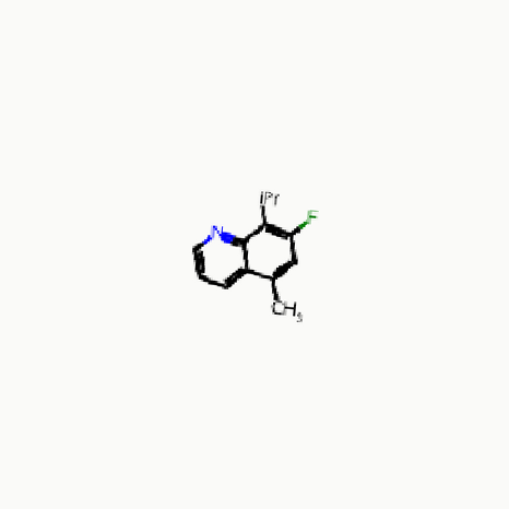 Cc1cc(F)c(C(C)C)c2ncccc12